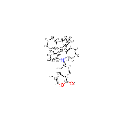 Cc1coc(=O)c2ccc(N3c4ccccc4[Si]4(c5ccccc5-c5ccccc54)c4ccccc43)cc12